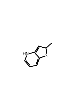 C[C]1C=C2NC=CC=C2S1